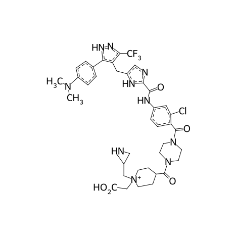 CN(C)c1ccc(-c2[nH]nc(C(F)(F)F)c2Cc2cnc(C(=O)Nc3ccc(C(=O)N4CCN(C(=O)C5CC[N+](CC(=O)O)(CC6CNC6)CC5)CC4)c(Cl)c3)[nH]2)cc1